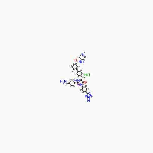 Cc1cc(C(=O)NC2CCN(C)CC2)cc(-c2ccc(C[C@H](NC(=O)[C@H]3CC[C@H](CN)CC3)C(=O)Nc3ccc(-c4nn[nH]n4)cc3)cc2)c1C.Cl